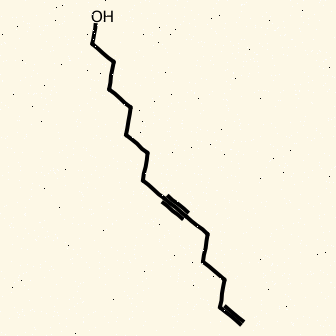 C=CCCCC#CCCCCCCCO